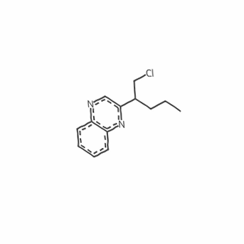 CCCC(CCl)c1cnc2ccccc2n1